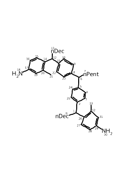 CCCCCCCCCCC(c1ccc(C(CCCCC)c2ccc(C(CCCCCCCCCC)c3ccc(N)cc3C)cc2)cc1)c1ccc(N)cc1C